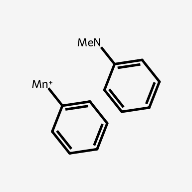 C[N-]c1ccccc1.[Mn+][c]1ccccc1